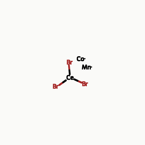 [Br][Ce]([Br])[Br].[Co].[Mn]